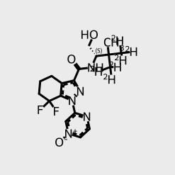 [2H]C([2H])([2H])C(C)([C@@H](CO)NC(=O)c1nn(-c2c[n+]([O-])ccn2)c2c1CCCC2(F)F)C([2H])([2H])[2H]